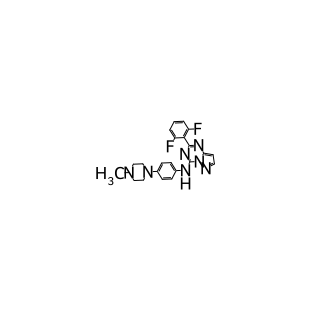 CN1CCN(c2ccc(Nc3nc(-c4c(F)cccc4F)nc4ccnn34)cc2)CC1